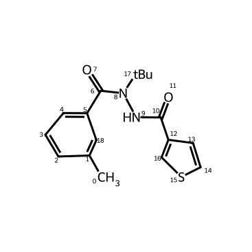 Cc1cccc(C(=O)N(NC(=O)c2ccsc2)C(C)(C)C)c1